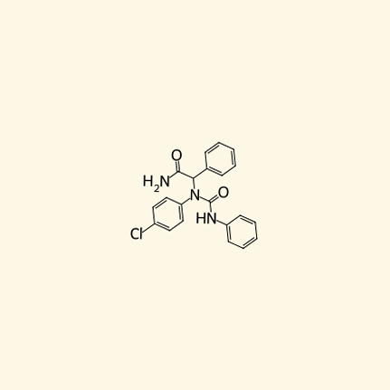 NC(=O)C(c1ccccc1)N(C(=O)Nc1ccccc1)c1ccc(Cl)cc1